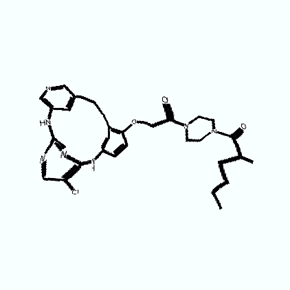 CCCCC(C)C(=O)N1CCN(C(=O)COc2ccc3cc2CCc2cncc(c2)Nc2ncc(Cl)c(n2)N3)CC1